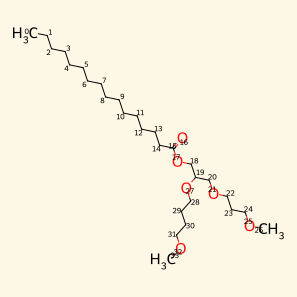 CCCCCCCCCCCCCCCC(=O)OCC(COCCCOC)OCCCCOC